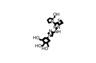 OCc1cc(-n2cnc(Nc3nc(N4CCC[C@H]4CO)c4sccc4n3)c2)cc(CO)c1CO